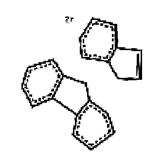 C1=Cc2ccccc2C1.[Zr].c1ccc2c(c1)Cc1ccccc1-2